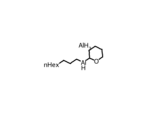 CCCCCCCC[CH2][AlH][CH]1CCCCO1.[AlH3]